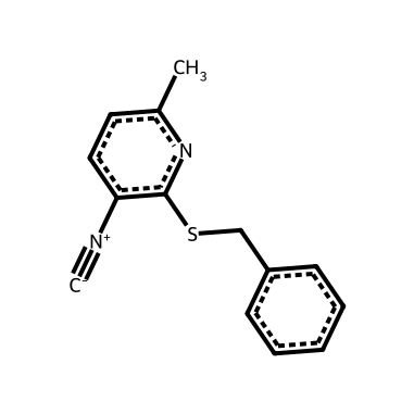 [C-]#[N+]c1ccc(C)nc1SCc1ccccc1